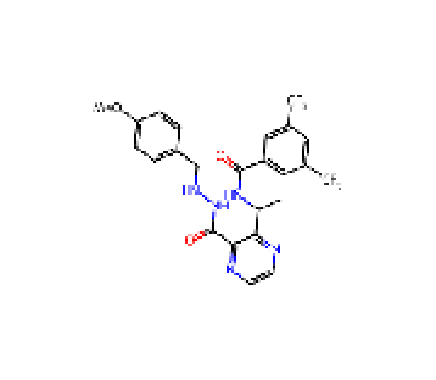 COc1ccc(CNNC(=O)c2nccnc2C(C)NC(=O)c2cc(C(F)(F)F)cc(C(F)(F)F)c2)cc1